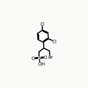 O=S(=O)(O)CC(CBr)c1ccc(Cl)cc1Cl